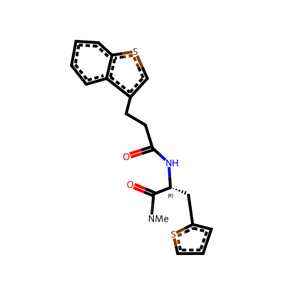 CNC(=O)[C@@H](Cc1cccs1)NC(=O)CCc1csc2ccccc12